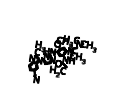 C=CC(=O)Nc1cc(Nc2nccc(-n3c(C)nc4ccc(C#N)cc43)n2)c(OC)cc1N(C)CCN(C)C